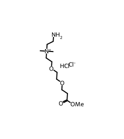 COC(=O)CCOCCOCC[N+](C)(C)CCN.Cl.[Cl-]